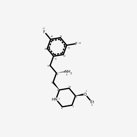 CCO[C@H]1CCN[C@@H](C[C@@H](N)Cc2cc(F)cc(F)c2)C1